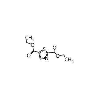 CCOC(=O)c1cnc(C(=O)OCC)s1